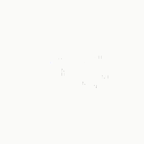 CC/C=C(\C)C(=O)Nc1cccc(-c2ncnc3[nH]cc(C(=O)O)c23)c1